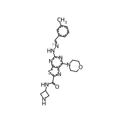 Cc1cccc(/C=N/Nc2nc(N3CCOCC3)c3nc(C(=O)NC4CNC4)sc3n2)c1